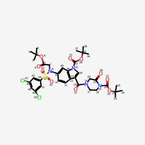 CC(C)(C)OC(=O)CN(c1ccc2c(C(=O)N3CCN(C(=O)OC(C)(C)C)C(=O)C3)cn(C(=O)OC(C)(C)C)c2c1)S(=O)(=O)c1cc(Cl)cc(Cl)c1